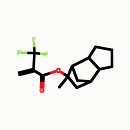 C=C(C(=O)OC1(C)CC2CC1C1CCCC21)C(F)(F)F